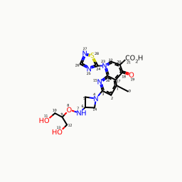 Cc1cc(N2CC(NOC(CO)CO)C2)nc2c1c(=O)c(C(=O)O)cn2-c1ncns1